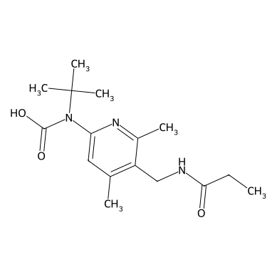 CCC(=O)NCc1c(C)cc(N(C(=O)O)C(C)(C)C)nc1C